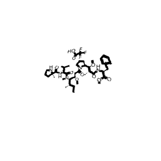 CC[C@H](C)[C@@H]([C@@H](CC(=O)N1CCC[C@H]1[C@H](OC)[C@@H](C)C(=O)N[C@@H](Cc1ccccc1)C(=O)OC)OC)N(C)C(=O)[C@@H](NC(=O)[C@@]1(C)CCCN1)C(C)C.O=C(O)C(F)(F)F